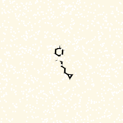 CCCN(CCCCC1CC1)[C@H]1CC[C@H](C)CC1